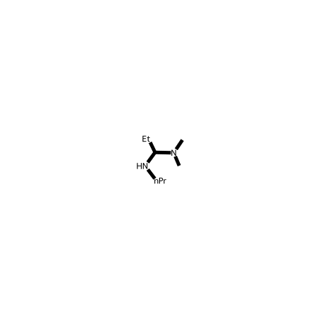 CCCNC(CC)N(C)C